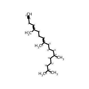 C#CC/C=C(\C)CC/C=C(\C)CCCC(C)CCCC(C)C